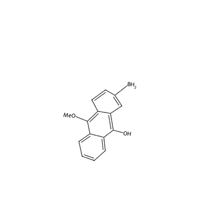 Bc1ccc2c(OC)c3ccccc3c(O)c2c1